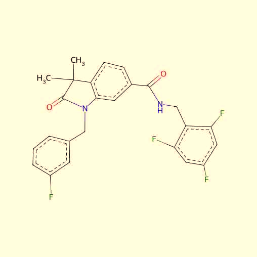 CC1(C)C(=O)N(Cc2cccc(F)c2)c2cc(C(=O)NCc3c(F)cc(F)cc3F)ccc21